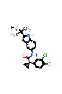 CC(C)(C)c1cc2cc(NC(=O)C3(c4ccc(Cl)c(Cl)c4)CC3)ccc2[nH]1